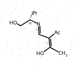 CC(=O)C(/C=N/[C@H](CO)C(C)C)=C(\C)O